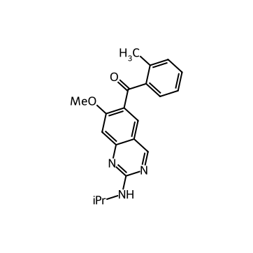 COc1cc2nc(NC(C)C)ncc2cc1C(=O)c1ccccc1C